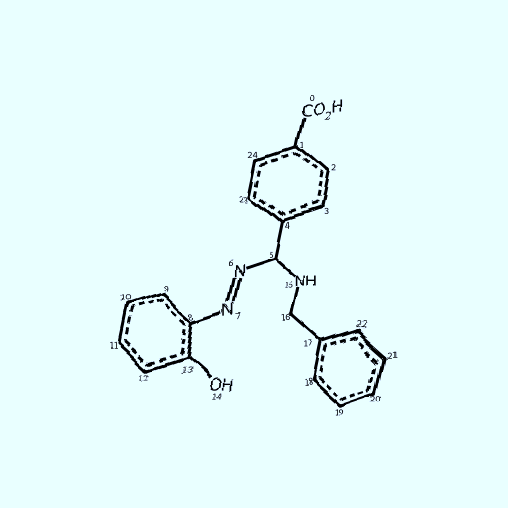 O=C(O)c1ccc(C(/N=N/c2ccccc2O)NCc2ccccc2)cc1